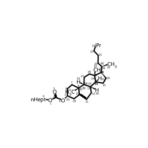 CCCCCCCOC(=O)O[C@H]1CC[C@@]2(C)C(=CC[C@H]3[C@H]4CC[C@H]([C@H](C)CCCC(C)C)[C@@]4(C)CC[C@H]32)C1